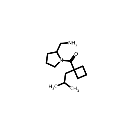 CC(C)CC1(C(=O)N2CCCC2CN)CCC1